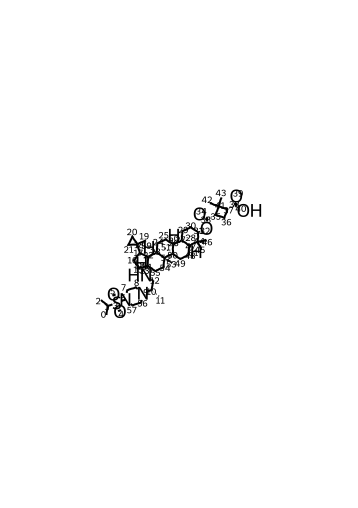 CC(C)S(=O)(=O)N1CCN([C@@H](C)CN[C@]23CCC(C4(C)CC4)[C@@H]2[C@H]2CC[C@@H]4[C@@]5(C)CC[C@H](OC(=O)[C@H]6C[C@@H](C(=O)O)C6(C)C)C(C)(C)[C@@H]5CC[C@@]4(C)[C@]2(C)CC3)CC1